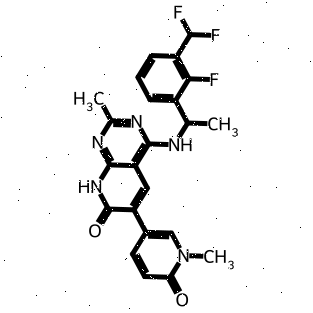 Cc1nc(NC(C)c2cccc(C(F)F)c2F)c2cc(-c3ccc(=O)n(C)c3)c(=O)[nH]c2n1